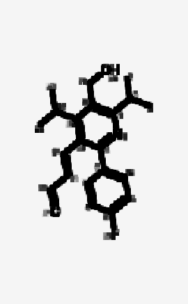 CC(C)c1nc(-c2ccc(F)cc2)c(C=CC=O)c(C(C)C)c1CO